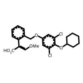 CO/C=C(/C(=O)O)c1ccccc1COc1cc(Cl)c(OC2CCCCC2)c(Cl)c1